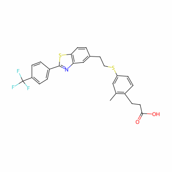 Cc1cc(SCCc2ccc3sc(-c4ccc(C(F)(F)F)cc4)nc3c2)ccc1CCC(=O)O